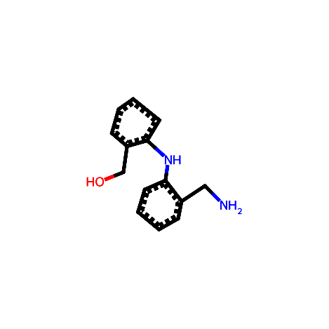 NCc1ccccc1Nc1ccccc1CO